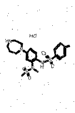 Cc1ccc(S(=O)(=O)Nc2ccc(N3CCCNCC3)cc2N(C)S(C)(=O)=O)cc1.Cl